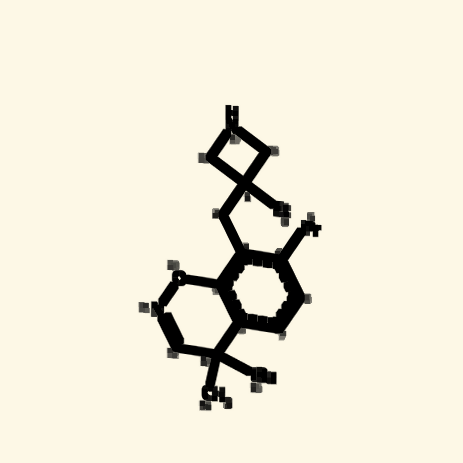 CCC1(Cc2c(C(C)C)ccc3c2ON=CC3(C)C(C)(C)C)CNC1